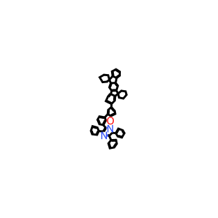 c1ccc(-c2nc(-c3ccccc3)c(-c3cccc4c3oc3ccc(-c5ccc6c(c5)C5(CCCCC5)c5cc7c(cc5-6)C5(CCCCC5)c5ccccc5-7)cc34)nc2-c2ccccc2)cc1